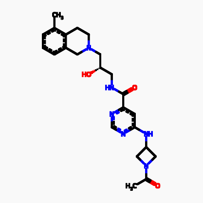 CC(=O)N1CC(Nc2cc(C(=O)NC[C@H](O)CN3CCc4c(C)cccc4C3)ncn2)C1